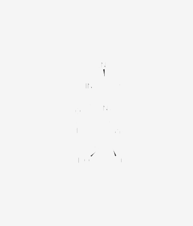 CC[C@@H]1OC(N2CC[C@H](N)NC2=O)[C@@H]([18F])[C@@H]1O